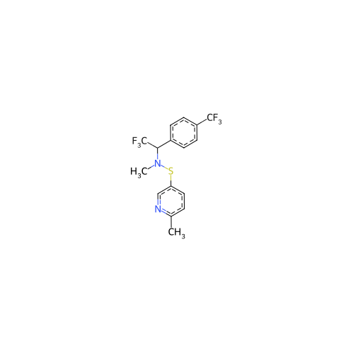 Cc1ccc(SN(C)C(c2ccc(C(F)(F)F)cc2)C(F)(F)F)cn1